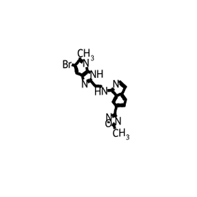 Cc1nc(-c2ccc3ccnc(NCCc4nc5cc(Br)c(C)nc5[nH]4)c3c2)no1